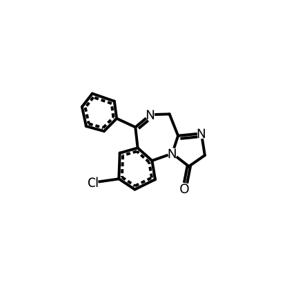 O=C1CN=C2CN=C(c3ccccc3)c3cc(Cl)ccc3N12